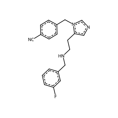 N#Cc1ccc(Cn2cncc2CCNCc2cccc(F)c2)cc1